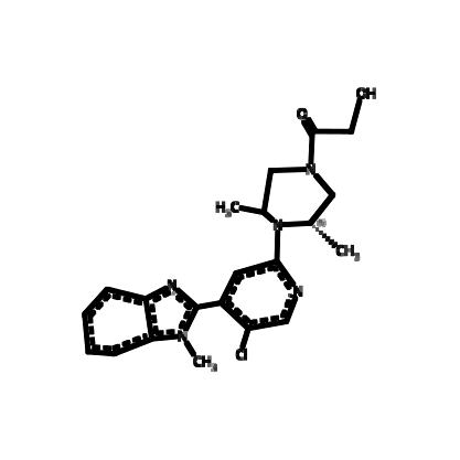 CC1CN(C(=O)CO)C[C@H](C)N1c1cc(-c2nc3ccccc3n2C)c(Cl)cn1